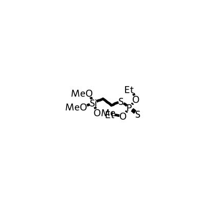 CCOP(=S)(OCC)SCC[Si](OC)(OC)OC